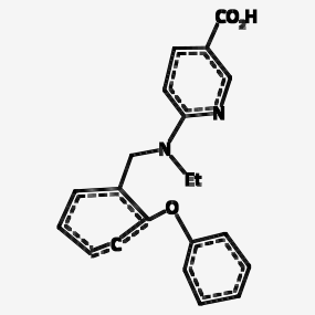 CCN(Cc1ccccc1Oc1ccccc1)c1ccc(C(=O)O)cn1